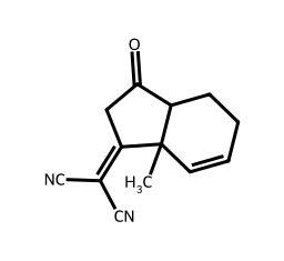 CC12C=CCCC1C(=O)CC2=C(C#N)C#N